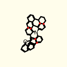 c1ccc(N(c2ccccc2-c2cccc3cccc(C4CCCCC4)c23)c2cccc3c2sc2ccccc23)c(-c2cccc3c2oc2ccccc23)c1